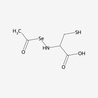 CC(=O)[Se]NC(CS)C(=O)O